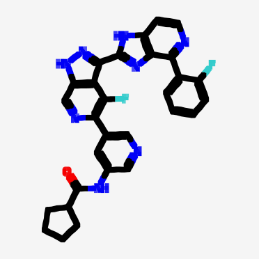 O=C(Nc1cncc(-c2ncc3[nH]nc(-c4nc5c(-c6ccccc6F)nccc5[nH]4)c3c2F)c1)C1CCCC1